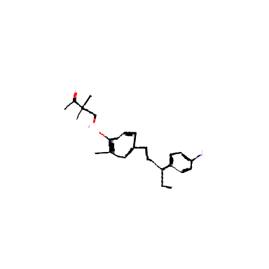 CCC(CCc1ccc(OCC(C)(C)C(C)=O)c(C)c1)c1ccc(I)cc1